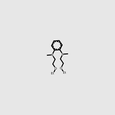 CCOCCN(C)c1ccccc1N(C)CCOCC